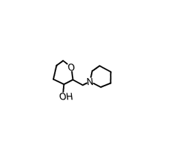 OC1CCCOC1CN1CCCCC1